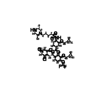 C[C@@H]1CN(CCCCS(=O)(=O)Nc2ccc(C(=O)O[C@@H](Cc3c(Cl)c[n+]([O-])cc3Cl)c3ccc(OC(F)F)c(OCC4CC4)c3)cc2OCC2CC2)[C@@H](C)CN1